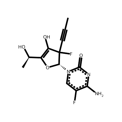 CC#CC1(F)C(O)=C([C@@H](C)O)O[C@H]1n1cc(F)c(N)nc1=O